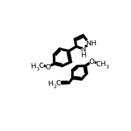 C=Cc1ccc(OC)cc1.COc1ccc(C2C=CNN2)cc1